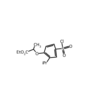 CCOC(=O)C(C)Oc1ccc(S(=O)(=O)Cl)cc1C(C)C